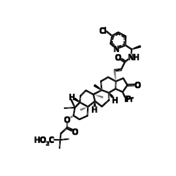 CC(C)C1C(=O)C[C@]2(/C=C/C(=O)N[C@H](C)c3ccc(Cl)cn3)CC[C@]3(C)[C@@H](CC[C@@H]4[C@@]5(C)CC[C@H](OC(=O)CC(C)(C)C(=O)O)C(C)(C)[C@@H]5CC[C@]43C)C12